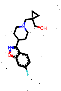 OCC1(CN2CCC(c3noc4cc(F)ccc34)CC2)CC1